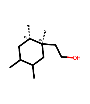 CC1C[C@H](C)[C@@](C)(CCO)CC1C